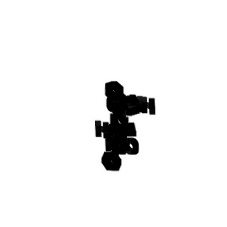 O=C(N1CCC(O)(Cn2cnc(-c3ccccc3)cc2=O)C2(CCC2)C1)N1CCNCC1c1ccccc1